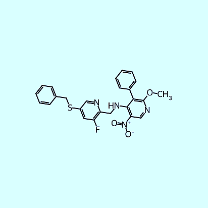 COc1ncc([N+](=O)[O-])c(NCc2ncc(SCc3ccccc3)cc2F)c1-c1ccccc1